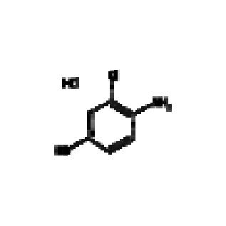 Cl.Nc1ccc(O)cc1Cl